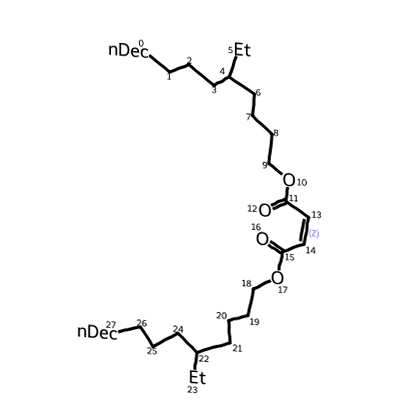 CCCCCCCCCCCCCC(CC)CCCCOC(=O)/C=C\C(=O)OCCCCC(CC)CCCCCCCCCCCCC